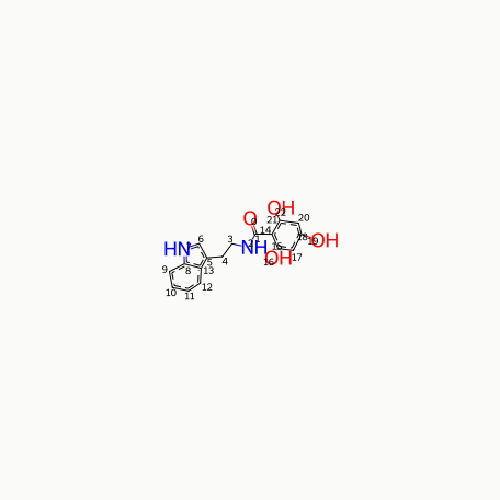 O=C(NCCc1c[nH]c2ccccc12)c1c(O)cc(O)cc1O